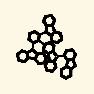 c1cc(-n2c3ccccc3c3ccccc32)c(-c2ccc3c(c2)c2ccccc2n3-c2cccc3oc4ccccc4c23)c(-n2c3ccccc3c3ccccc32)c1